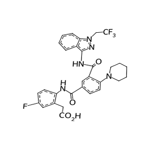 O=C(O)Cc1cc(F)ccc1NC(=O)c1ccc(N2CCCCC2)c(C(=O)Nc2nn(CC(F)(F)F)c3ccccc23)c1